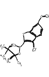 COc1ccc2c(Cl)c(B3OC(C)(C)C(C)(C)O3)sc2c1